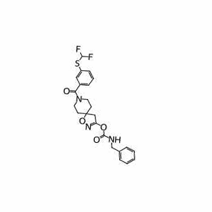 O=C(NCc1ccccc1)OC1=NOC2(CCN(C(=O)c3cccc(SC(F)F)c3)CC2)C1